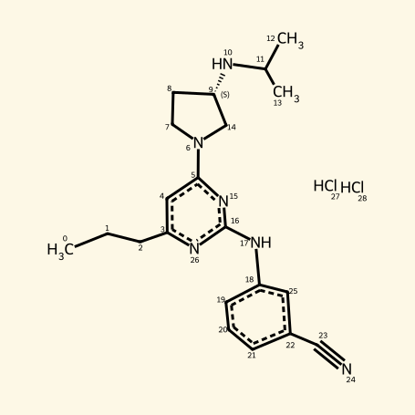 CCCc1cc(N2CC[C@H](NC(C)C)C2)nc(Nc2cccc(C#N)c2)n1.Cl.Cl